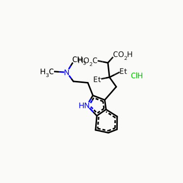 CCC(CC)(Cc1c(CCN(C)C)[nH]c2ccccc12)C(C(=O)O)C(=O)O.Cl